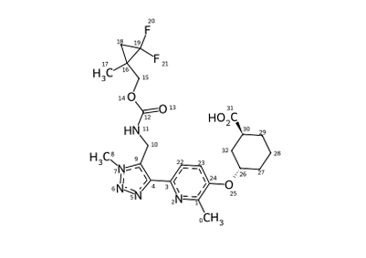 Cc1nc(-c2nnn(C)c2CNC(=O)OCC2(C)CC2(F)F)ccc1O[C@H]1CCC[C@H](C(=O)O)C1